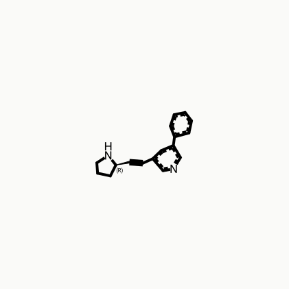 C(#C[C@H]1CCCN1)c1cncc(-c2ccccc2)c1